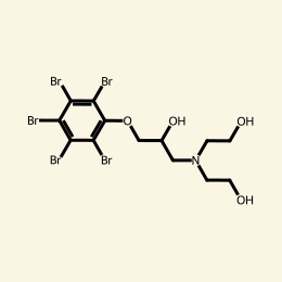 OCCN(CCO)CC(O)COc1c(Br)c(Br)c(Br)c(Br)c1Br